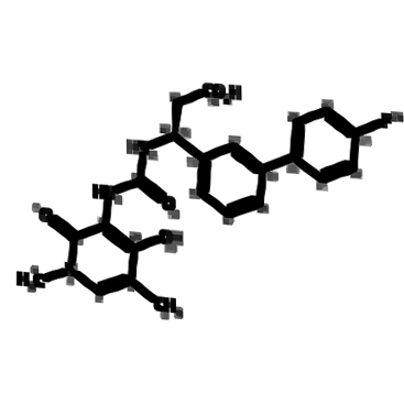 Cc1cn(C)c(=O)c(NC(=O)N[C@@H](CC(=O)O)c2cccc(-c3ccc(F)cc3)c2)c1O